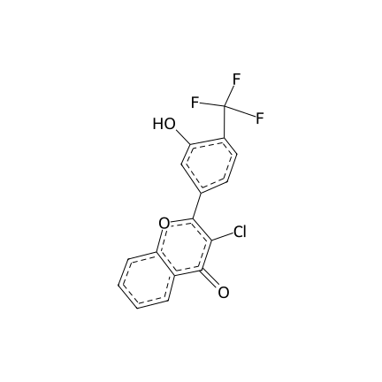 O=c1c(Cl)c(-c2ccc(C(F)(F)F)c(O)c2)oc2ccccc12